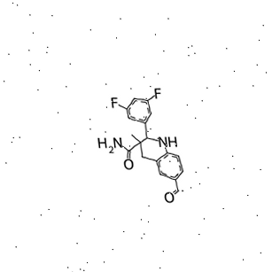 CC1(C(N)=O)Cc2cc([C]=O)ccc2NC1c1cc(F)cc(F)c1